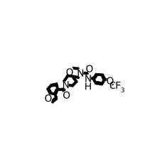 O=C(Nc1ccc(OC(F)(F)F)cc1)N1CCOC2(CCN(C(=O)c3cccc4occc34)CC2)C1